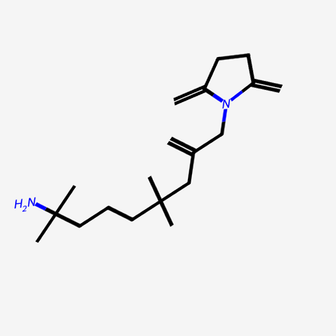 C=C(CN1C(=C)CCC1=C)CC(C)(C)CCCC(C)(C)N